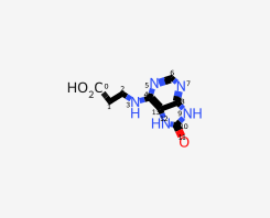 O=C(O)CCNc1ncnc2[nH]c(=O)[nH]c12